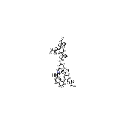 C=CC(=O)Oc1ccc(C(=O)Oc2ccc(CCOC(=O)c3ccc(OC(=O)C=C)c(OC(=O)C=C)c3)cc2/C=N/NC2C#Cc3ccccc3S2)cc1